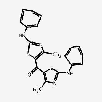 Cc1nc(Nc2ccccc2)sc1C(=O)c1sc(Nc2ccccc2)nc1C